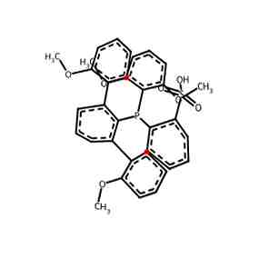 COc1ccccc1-c1cccc(-c2ccccc2OC)c1P(c1ccccc1S(=O)(=O)O)c1c(OC)cccc1OC